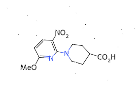 COc1ccc([N+](=O)[O-])c(N2CCC(C(=O)O)CC2)n1